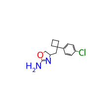 NC1=NC(CC2(c3ccc(Cl)cc3)CCC2)CO1